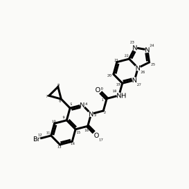 O=C(Cn1nc(C2CC2)c2cc(Br)ccc2c1=O)Nc1ccc2nncn2n1